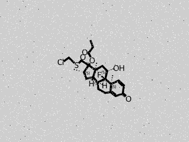 CCC(=O)O[C@]1(C(=O)SCCl)[C@@H](C)C[C@H]2[C@@H]3CCC4=CC(=O)C=C[C@]4(C)[C@@]3(F)[C@@H](O)C[C@@]21C